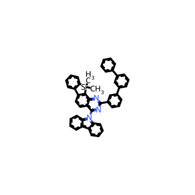 C[Si]1(C)c2ccccc2-c2ccc3c(-n4c5ccccc5c5ccccc54)nc(-c4cccc(-c5cccc(-c6ccccc6)c5)c4)nc3c21